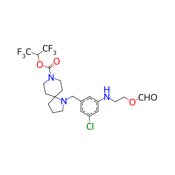 O=COCCNc1cc(Cl)cc(CN2CCCC23CCN(C(=O)OC(C(F)(F)F)C(F)(F)F)CC3)c1